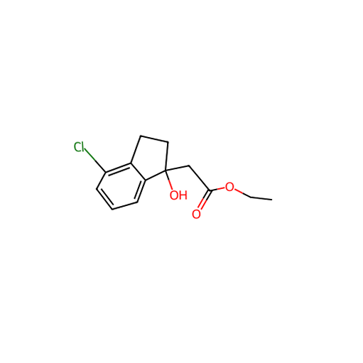 CCOC(=O)CC1(O)CCc2c(Cl)cccc21